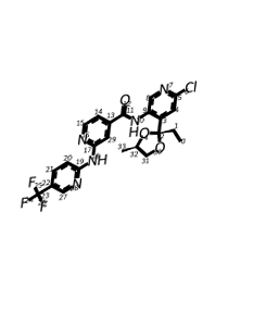 CC[C@@]1(c2cc(Cl)ncc2NC(=O)c2ccnc(Nc3ccc(C(F)(F)F)cn3)c2)OC[C@@H](C)O1